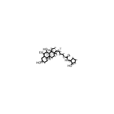 CC[C@@H]1C2C[C@H](O)CC[C@]2(C)[C@H]2CCC3(C)[C@@H]([C@H](C)CCOC(=O)NC4CCCC4O)CC[C@H]3C2[C@@H]1O